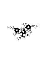 Cc1cc(S(=O)(=O)O)cc(C)c1Nc1nc(Nc2c(C)cc(S(=O)(=O)O)cc2C)c(C(=O)ON)c(C)c1C